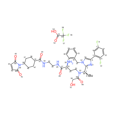 CC(C)(C)[C@H](c1nc(-c2cc(F)ccc2F)cn1Cc1ccccc1)N(CC[C@H](N)C(=O)NCCNC(=O)C1CCC(N2C(=O)C=CC2=O)CC1)C(=O)CO.O=C(O)C(F)(F)F